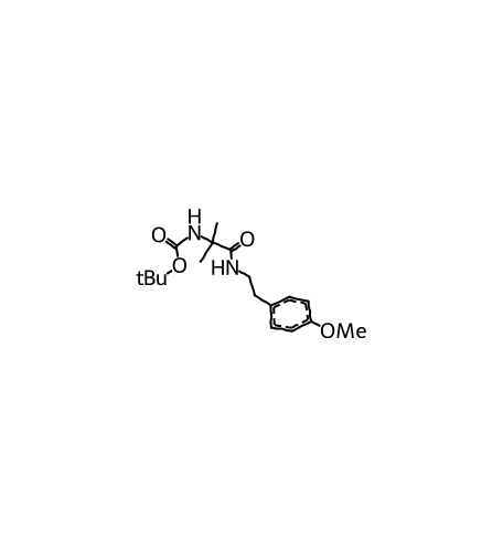 COc1ccc(CCNC(=O)C(C)(C)NC(=O)OC(C)(C)C)cc1